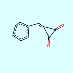 O=C1C(=O)C1=Cc1ccccc1